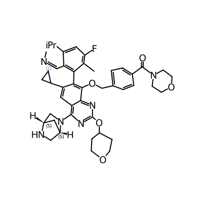 C/N=C\c1c(C(C)C)cc(F)c(C)c1-c1c(C2CC2)cc2c(N3C[C@@H]4C[C@H]3CN4)nc(OC3CCOCC3)nc2c1OCc1ccc(C(=O)N2CCOCC2)cc1